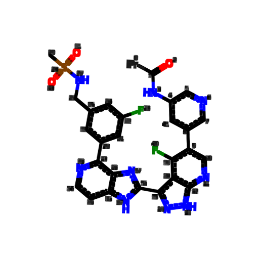 CC(C)C(=O)Nc1cncc(-c2cnc3[nH]nc(-c4nc5c(-c6cc(F)cc(CNS(C)(=O)=O)c6)nccc5[nH]4)c3c2F)c1